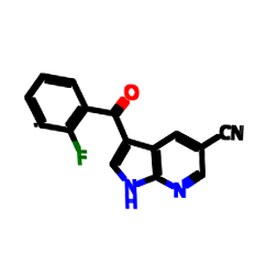 N#Cc1cnc2[nH]cc(C(=O)c3ccc[c]c3F)c2c1